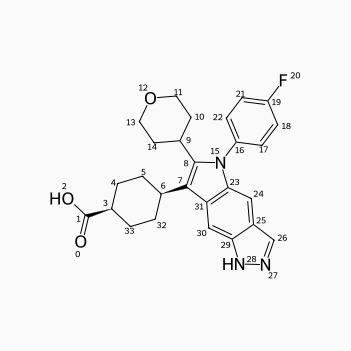 O=C(O)[C@H]1CC[C@@H](c2c(C3CCOCC3)n(-c3ccc(F)cc3)c3cc4cn[nH]c4cc32)CC1